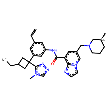 C=Cc1cc(NC(=O)c2cc(CN3CCC[C@H](C)C3)cn3ccnc23)cc(C2(c3nncn3C)CC(CC#N)C2)c1